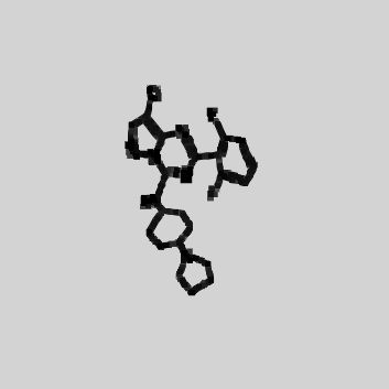 Fc1cccc(F)c1-c1nc(NC2CCC(N3CCCC3)CC2)n2ncc(Cl)c2n1